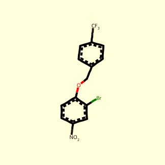 O=[N+]([O-])c1ccc(OCc2ccc(C(F)(F)F)cc2)c(Br)c1